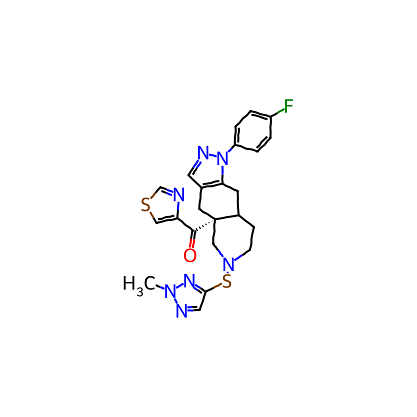 Cn1ncc(SN2CCC3Cc4c(cnn4-c4ccc(F)cc4)C[C@]3(C(=O)c3cscn3)C2)n1